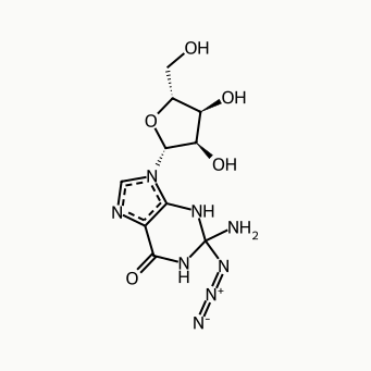 [N-]=[N+]=NC1(N)NC(=O)c2ncn([C@@H]3O[C@H](CO)[C@@H](O)[C@H]3O)c2N1